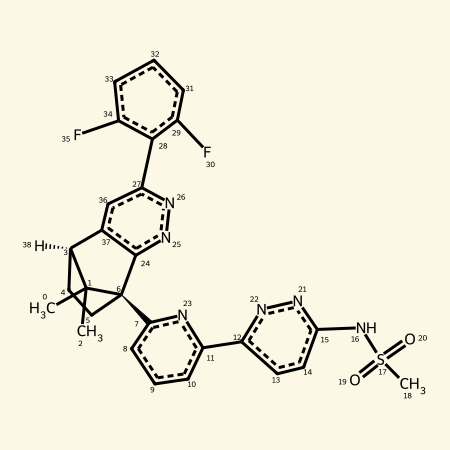 CC1(C)[C@H]2CC[C@@]1(c1cccc(-c3ccc(NS(C)(=O)=O)nn3)n1)c1nnc(-c3c(F)cccc3F)cc12